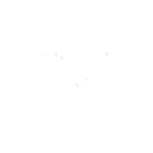 Cc1c(C2=NNC(=O)CC2(C)C)ccc2c1nc(C1CC1)n2-c1ccccc1-c1ccccc1C#N